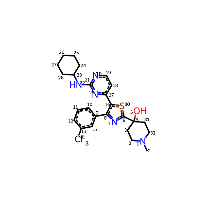 CN1CCC(O)(c2nc(-c3cccc(C(F)(F)F)c3)c(-c3ccnc(NC4CCCCC4)n3)s2)CC1